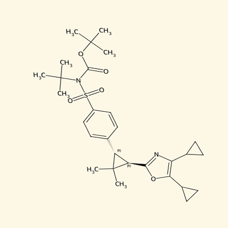 CC(C)(C)OC(=O)N(C(C)(C)C)S(=O)(=O)c1ccc([C@@H]2[C@@H](c3nc(C4CC4)c(C4CC4)o3)C2(C)C)cc1